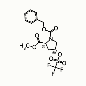 COC(=O)[C@@H]1C[C@@H](OS(=O)(=O)C(F)(F)F)CN1C(=O)OCc1ccccc1